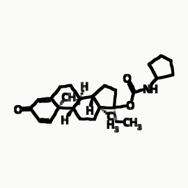 CC[C@@]1(OC(=O)NC2CCCC2)CC[C@H]2[C@@H]3CCC4=CC(=O)C=C[C@]4(C)[C@H]3CC[C@@]21C